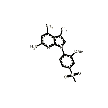 COc1cc(S(C)(=O)=O)ccc1-n1cc(C(F)(F)F)c2c(N)cc(N)nc21